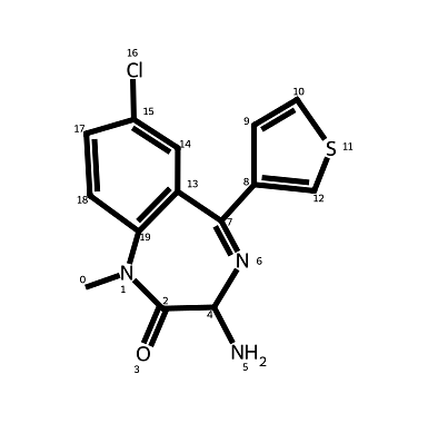 CN1C(=O)C(N)N=C(c2ccsc2)c2cc(Cl)ccc21